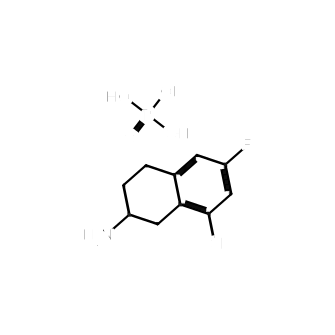 NC1CCc2cc(F)cc(Cl)c2C1.O=P(O)(O)O